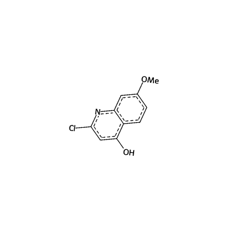 COc1ccc2c(O)cc(Cl)nc2c1